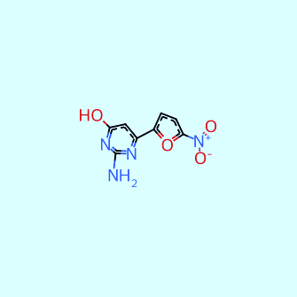 Nc1nc(O)cc(-c2ccc([N+](=O)[O-])o2)n1